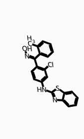 Cc1ccccc1C(=NO)c1ccc(Nc2nc3ccccc3s2)cc1Cl